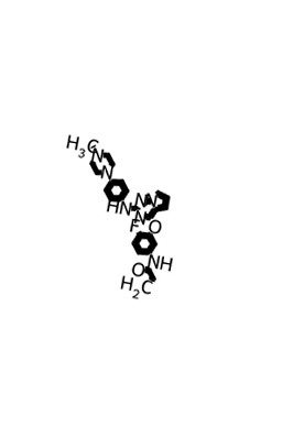 C=CC(=O)Nc1ccc(F)c(Oc2nc(Nc3ccc(N4CCN(C)CC4)cc3)nn3cccc23)c1